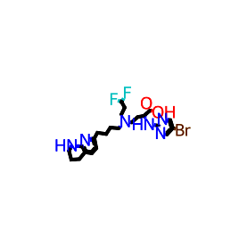 O=C(O)C(CCN(CCCCc1ccc2c(n1)NCCC2)CCC(F)F)Nc1ncc(Br)cn1